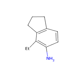 CCc1c(N)ccc2c1CCC2